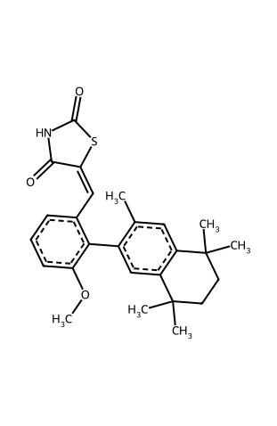 COc1cccc(/C=C2/SC(=O)NC2=O)c1-c1cc2c(cc1C)C(C)(C)CCC2(C)C